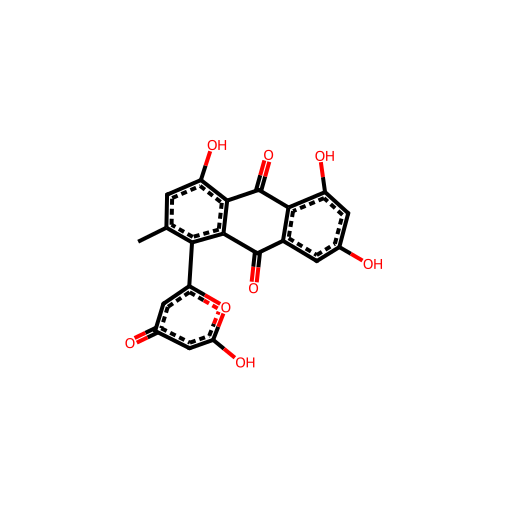 Cc1cc(O)c2c(c1-c1cc(=O)cc(O)o1)C(=O)c1cc(O)cc(O)c1C2=O